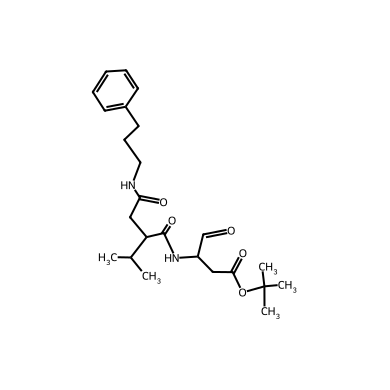 CC(C)C(CC(=O)NCCCc1ccccc1)C(=O)NC(C=O)CC(=O)OC(C)(C)C